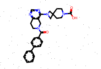 O=C(O)N1CCC2(CC1)CN(c1ncnc3c1CN(C(=O)c1ccc(-c4ccccc4)cc1)CC3)C2